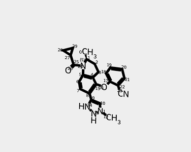 C[C@H]1CCc2c(ccc(C3=CN(C)NN3)c2Oc2ccccc2C#N)N1C(=O)C1CC1